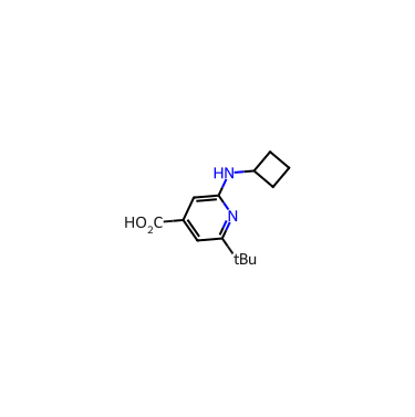 CC(C)(C)c1cc(C(=O)O)cc(NC2CCC2)n1